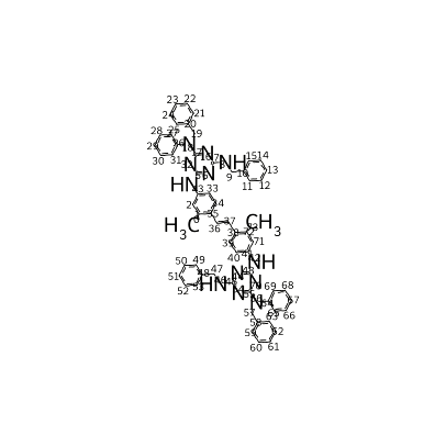 Cc1cc(Nc2nc(NCc3ccccc3)nc(N(Cc3ccccc3)c3ccccc3)n2)ccc1C=Cc1ccc(Nc2nc(NCc3ccccc3)nc(N(Cc3ccccc3)c3ccccc3)n2)cc1C